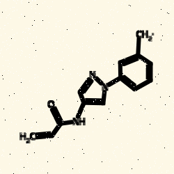 [CH2]c1cccc(-n2cc(NC(=O)C=C)cn2)c1